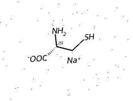 N[C@H](CS)C(=O)[O-].[Na+]